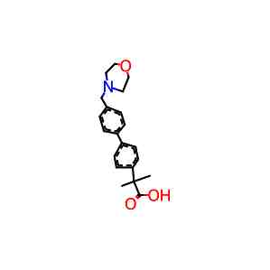 CC(C)(C(=O)O)c1ccc(-c2ccc(CN3CCOCC3)cc2)cc1